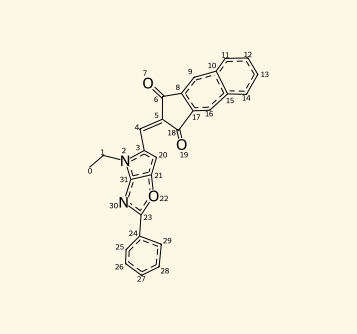 CCn1c(C=C2C(=O)c3cc4ccccc4cc3C2=O)cc2oc(-c3ccccc3)nc21